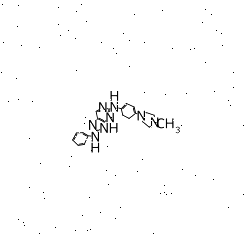 CN1CCN(C2=CC=C(Nc3ncc4nc(Nc5ccccc5)[nH]c4n3)CC2)CC1